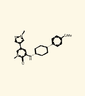 COc1ccc([C@H]2CC[C@@H](Nc3cc(-c4cnn(C)c4)cn(C)c3=O)CC2)cc1